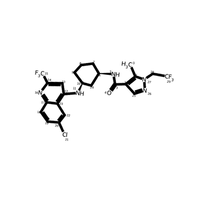 Cc1c(C(=O)N[C@@H]2CCC[C@H](Nc3cc(C(F)(F)F)nc4ccc(Cl)cc34)C2)cnn1CC(F)(F)F